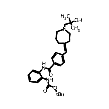 CC(C)(O)CN1CCC/C(=C\c2ccc(C(=O)Nc3ccccc3NC(=O)OC(C)(C)C)cc2)CC1